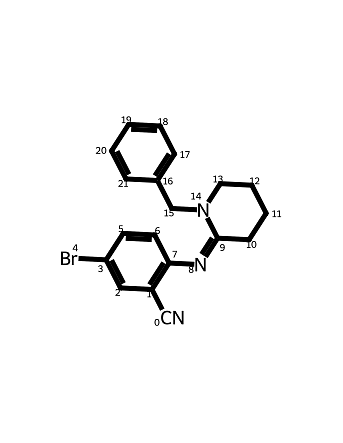 N#Cc1cc(Br)ccc1N=C1CCCCN1Cc1ccccc1